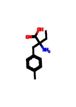 CCC(N)(Cc1ccc(C)cc1)C(=O)O